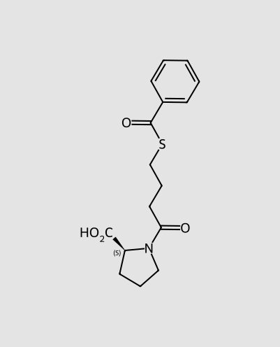 O=C(SCCCC(=O)N1CCC[C@H]1C(=O)O)c1ccccc1